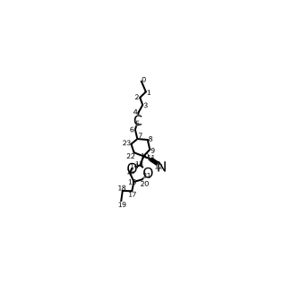 CCCCCCCC1CCC(C#N)(C2OCC(CCC)CO2)CC1